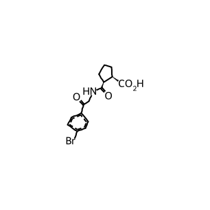 O=C(CNC(=O)[C@H]1CCC[C@H]1C(=O)O)c1ccc(Br)cc1